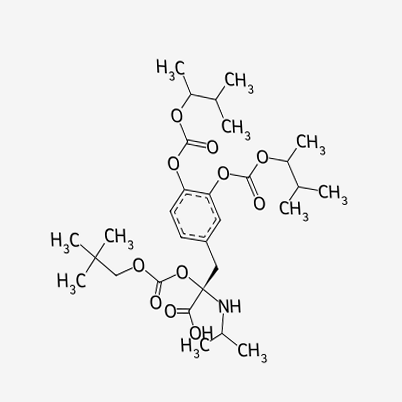 CC(C)N[C@@](Cc1ccc(OC(=O)OC(C)C(C)C)c(OC(=O)OC(C)C(C)C)c1)(OC(=O)OCC(C)(C)C)C(=O)O